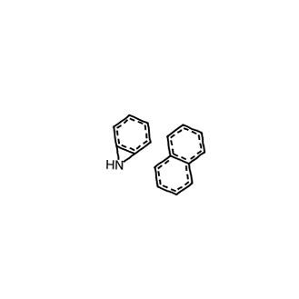 c1ccc2c(c1)N2.c1ccc2ccccc2c1